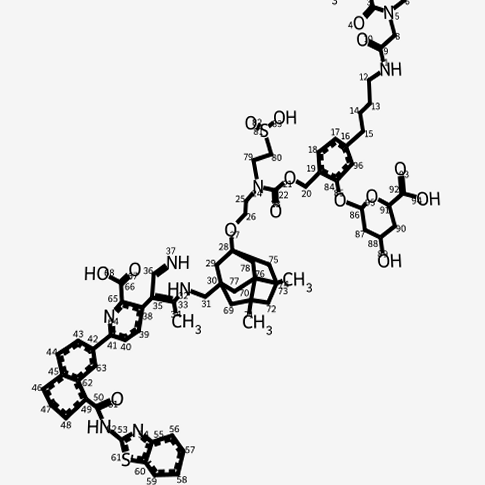 C/C=C\C(=O)N(C=O)CC(=O)NCCCCc1ccc(COC(=O)N(CCOC23CC4(CN/C(C)=C(\C=N)c5ccc(-c6ccc7cccc(C(=O)Nc8nc9ccccc9s8)c7c6)nc5C(=O)O)CC5(C)CC(C)(C2)C5(C4)C3)CCS(=O)O)c(OC2CC(O)CC(C(=O)O)O2)c1